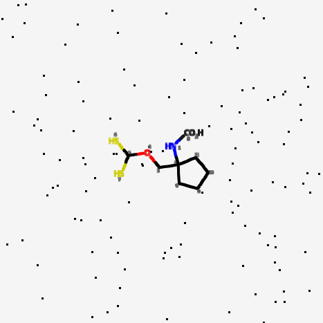 O=C(O)NC1(COC(S)S)CCCC1